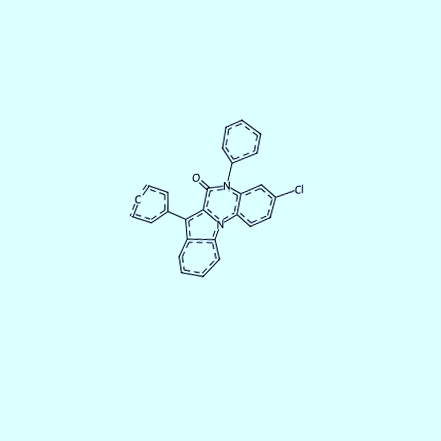 O=c1c2c(-c3ccccc3)c3ccccc3n2c2ccc(Cl)cc2n1-c1ccccc1